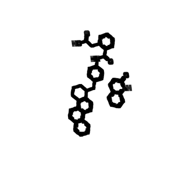 O=C(O)Cc1ccccc1C(=O)Nc1ccc(CC2CCCc3c2ccc2c3ccc3ccccc32)cc1.O=c1ccc2ccccc2[nH]1